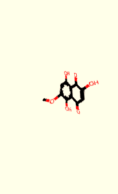 COc1cc(O)c2c(c1O)C(=O)C=C(O)C2=O